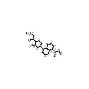 CCC(=O)c1ccc(-c2cccc3c(C(Br)C=O)cccc23)cc1Br